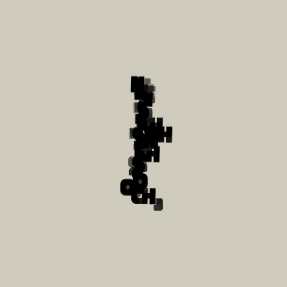 CC(=O)OCCCN/C=C(/CNCCCN=[N+]=[N-])N=N